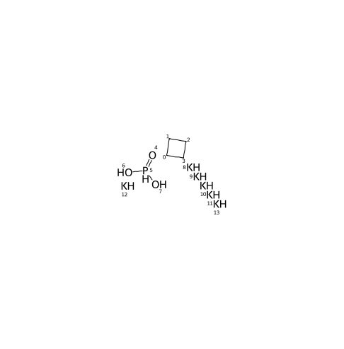 C1CCC1.O=[PH](O)O.[KH].[KH].[KH].[KH].[KH].[KH]